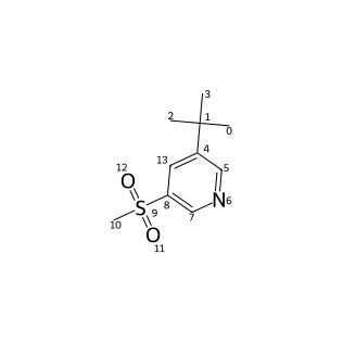 CC(C)(C)c1cncc(S(C)(=O)=O)c1